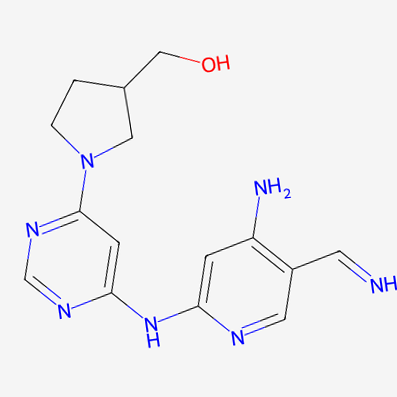 N=Cc1cnc(Nc2cc(N3CCC(CO)C3)ncn2)cc1N